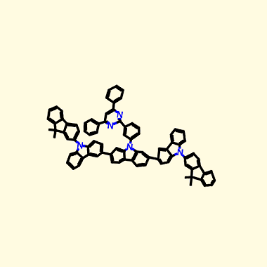 CC1(C)c2ccccc2-c2ccc(-n3c4ccccc4c4cc(-c5ccc6c7ccc(-c8ccc9c(c8)c8ccccc8n9-c8ccc9c(c8)C(C)(C)c8ccccc8-9)cc7n(-c7cccc(-c8nc(-c9ccccc9)cc(-c9ccccc9)n8)c7)c6c5)ccc43)cc21